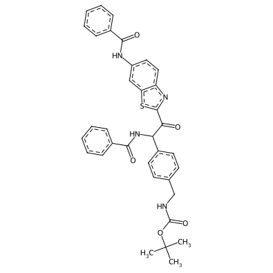 CC(C)(C)OC(=O)NCc1ccc(C(NC(=O)c2ccccc2)C(=O)c2nc3ccc(NC(=O)c4ccccc4)cc3s2)cc1